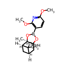 COc1ccc(B2O[C@H]3C[C@H]4C[C@H](C4(C)C)[C@@]3(C)O2)c(OC)n1